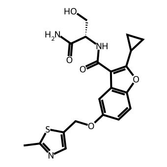 Cc1ncc(COc2ccc3oc(C4CC4)c(C(=O)N[C@@H](CO)C(N)=O)c3c2)s1